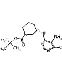 CC(C)(C)OC(=O)N1CCC[C@H](Nc2ncnc(Cl)c2N)C1